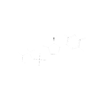 CCC(C)(C[C@H]1O[C@@H](n2cc(I)c(=O)[nH]c2=O)[C@H](O)C1O)OP(=O)(O)C(C)O